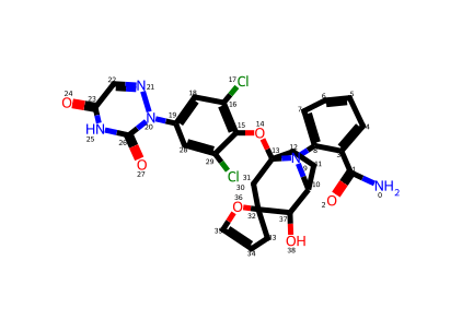 NC(=O)c1ccccc1N1C2CCC1(Oc1c(Cl)cc(-n3ncc(=O)[nH]c3=O)cc1Cl)CC1(CC=CO1)C2O